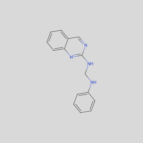 c1ccc(NCNc2ncc3ccccc3n2)cc1